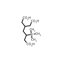 C[N+](C)(C)C(CC(=O)O)CC(CC(=O)O)CC(=O)O